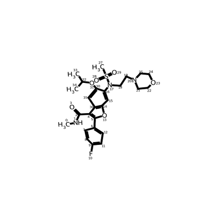 CNC(=O)c1c(-c2ccc(F)cc2)oc2cc(N(CCN3CCOCC3)S(C)(=O)=O)c(OC(C)C)cc12